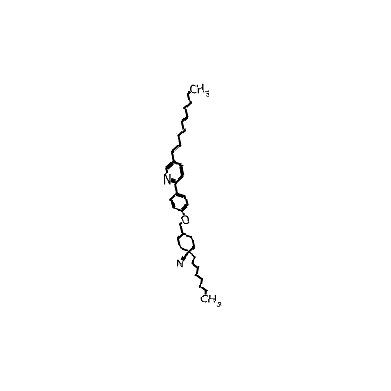 CCCCCCCCCCc1ccc(-c2ccc(OCC3CCC(C#N)(CCCCCCCC)CC3)cc2)nc1